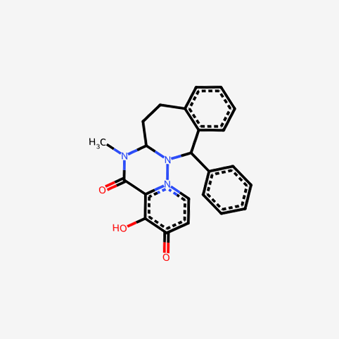 CN1C(=O)c2c(O)c(=O)ccn2N2C(c3ccccc3)c3ccccc3CCC12